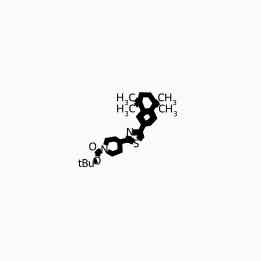 CC(C)(C)OC(=O)N1CCC(c2nc(-c3ccc4c(c3)C(C)(C)CCC4(C)C)cs2)CC1